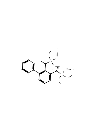 CCO[Si](OCC)(OCC)C(C)c1cccc(-c2ccccc2)c1C(C)[Si](OCC)(OCC)OCC